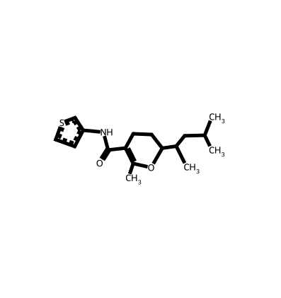 CC1=C(C(=O)Nc2ccsc2)CCC(C(C)CC(C)C)O1